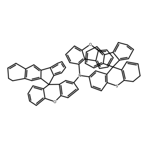 C1=CC2=C(CC1)Sc1ccc(N(c3ccc4c(c3)C3(c5ccccc5O4)c4ccccc4-c4cc5c(cc43)CCC=C5)c3cccc4oc5ccccc5c34)cc1C21c2ccccc2-c2ccccc21